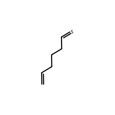 [CH]=CCCCC=S